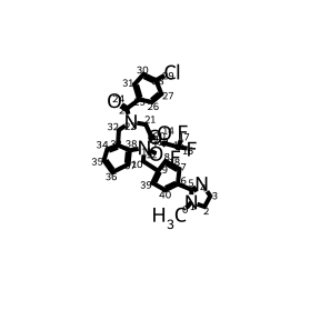 CN1CCN=C1c1ccc(C[N+]2(OC(=O)C(F)(F)F)C(=O)CN(C(=O)c3ccc(Cl)cc3)Cc3ccccc32)cc1